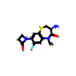 CN1C(=O)[C@@H](N)CSc2cc(N3CCC3=O)c(F)cc21